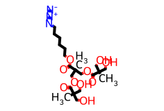 CC(CO)(CO)C(=O)OCC(C)(COC(=O)C(C)(CO)CO)C(=O)OCCCCCCN=[N+]=[N-]